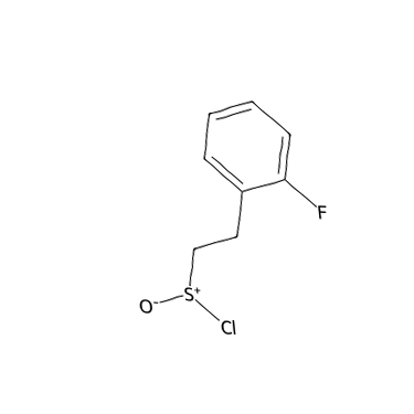 [O-][S+](Cl)CCc1ccccc1F